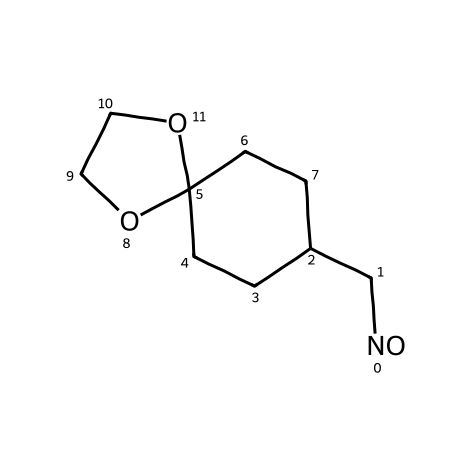 O=NCC1CCC2(CC1)OCCO2